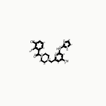 N#Cc1cc(CN2CCN(C(=O)c3cccc(Cl)c3F)CC2)nc(Nc2nccs2)c1